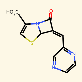 O=C(O)C1=CSC2C(=Cc3cnccn3)C(=O)N12